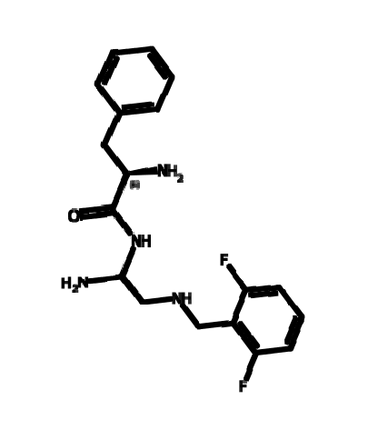 NC(CNCc1c(F)cccc1F)NC(=O)[C@H](N)Cc1ccccc1